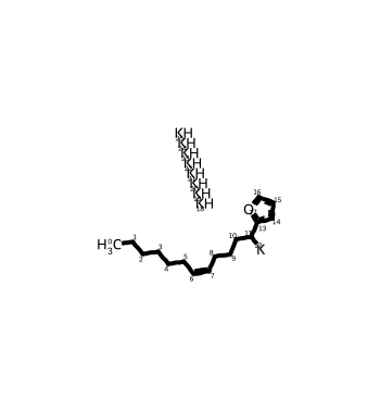 CCCCCC/C=C\CCC[CH]([K])c1ccco1.[KH].[KH].[KH].[KH].[KH].[KH].[KH].[KH]